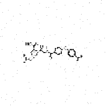 O=C(NCC(=O)N1C[C@H](OC(F)F)C[C@H]1C(=O)O)c1ccc(Oc2ccc(C(F)F)cc2)cc1